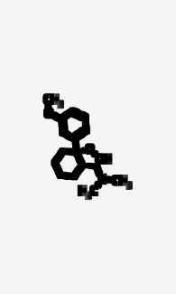 COc1cccc([C@@]2(OO)CCCC[C@@H]2CN(C)C)c1